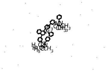 CC1(C)N=C(c2ccccc2)N(c2cccc(-c3ccc4c5c6ccccc6c(-c6cccc(N7C(c8ccccc8)=NC(C)(C)C7(C)C)c6)cc5n(-c5ccccc5)c4c3)c2)C1(C)C